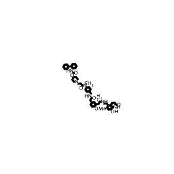 COc1ccc(CC(=O)NCc2ccc(N(C)C(=O)CCN3CCC(OC(=O)Nc4ccccc4-c4ccccc4)CC3)cc2)cc1C[C@H](C)NCCc1ccc(O)c2[nH]c(=O)ccc12